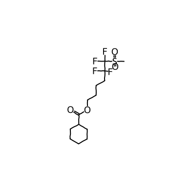 CS(=O)(=O)C(F)(F)C(F)(F)CCCCOC(=O)C1CCCCC1